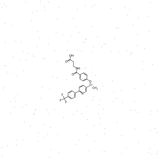 C[C@@H](Oc1ccc(C(=O)NCCC(=O)O)cc1)c1ccc(-c2ccc(C(F)(F)F)cc2)nc1